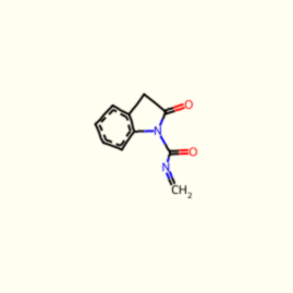 C=NC(=O)N1C(=O)Cc2ccccc21